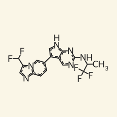 CC(Nc1ncc2c(-c3ccc4ncc(C(F)F)n4c3)c[nH]c2n1)C(F)(F)F